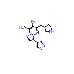 Nc1c(Br)c(CC2CCNC2)nc2c(-c3cn[nH]c3)cnn12